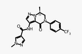 C[C@H]1CN(c2ccc(C(F)(F)F)cc2)C(=O)c2c(NC(=O)c3cnn(C)c3)cnn21